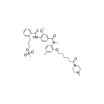 COc1cc(C(=O)N(C)c2ccc(C)cc2OCCCCCC(=O)N2CCN(C)CC2)ccc1NC(=S)c1ccccc1CCCOS(C)(=O)=O